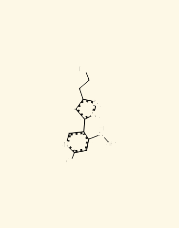 CC(C)CCc1cc(-c2cnc(Cl)cc2NC(C)C)n[nH]1